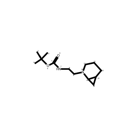 CC(C)(C)OC(=O)NCCN1CCCC2CC21